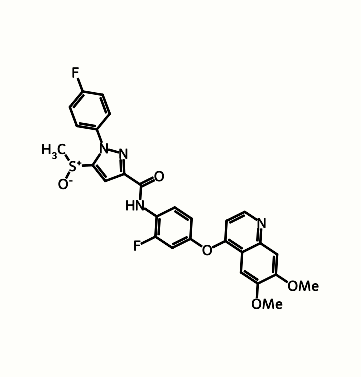 COc1cc2nccc(Oc3ccc(NC(=O)c4cc([S+](C)[O-])n(-c5ccc(F)cc5)n4)c(F)c3)c2cc1OC